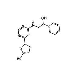 CC(=O)C1=CCC(c2cc(NCC(O)c3ccccc3)ncn2)S1